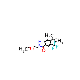 CCOCCNC(=O)c1ccc(C(C)C)c(C(F)(F)F)c1